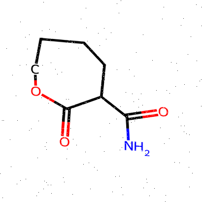 NC(=O)C1CCCCOC1=O